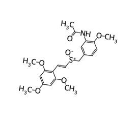 COc1cc(OC)c(C=C[S+]([O-])Cc2ccc(OC)c(NC(C)=O)c2)c(OC)c1